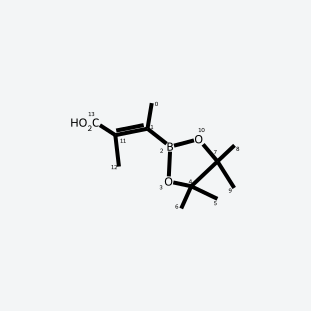 C/C(B1OC(C)(C)C(C)(C)O1)=C(/C)C(=O)O